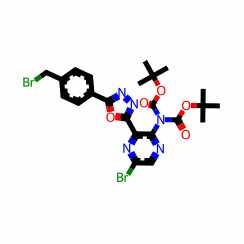 CC(C)(C)OC(=O)N(C(=O)OC(C)(C)C)c1ncc(Br)nc1-c1nnc(-c2ccc(CBr)cc2)o1